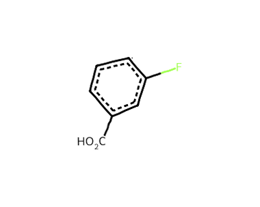 O=C(O)c1cc[c]c(F)c1